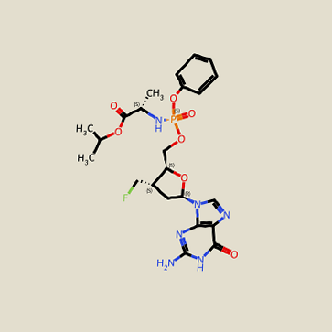 CC(C)OC(=O)[C@H](C)N[P@](=O)(OC[C@H]1O[C@@H](n2cnc3c(=O)[nH]c(N)nc32)C[C@@H]1CF)Oc1ccccc1